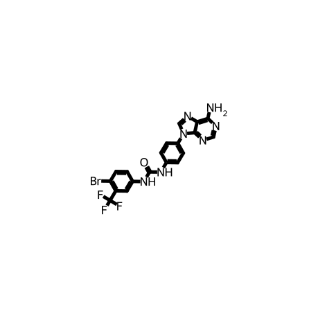 Nc1ncnc2c1ncn2-c1ccc(NC(=O)Nc2ccc(Br)c(C(F)(F)F)c2)cc1